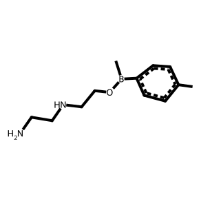 CB(OCCNCCN)c1ccc(C)cc1